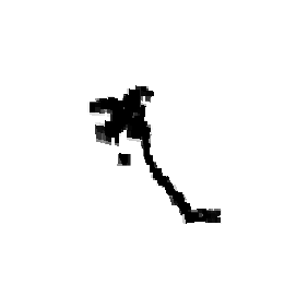 CCCCCCCCCCCCCCCCCCCCCCCCCCCCC#CC(=Nc1cc(CCC)cc(CCC)c1)C(CCCC)=Nc1cc(CCC)cc(CCC)c1.[Ni]